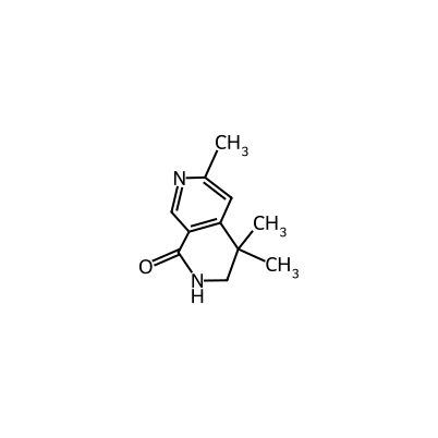 Cc1cc2c(cn1)C(=O)NCC2(C)C